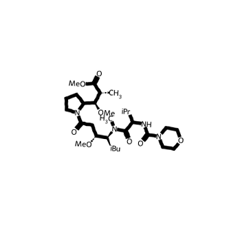 CC[C@H](C)[C@@H]([C@@H](CC(=O)N1CCCC1[C@H](OC)[C@@H](C)C(=O)OC)OC)N(C)C(=O)C(NC(=O)N1CCOCC1)C(C)C